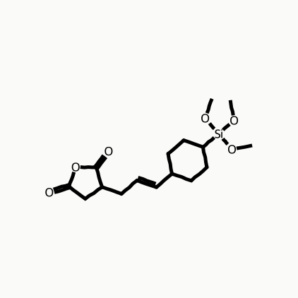 CO[Si](OC)(OC)C1CCC(/C=C/CC2CC(=O)OC2=O)CC1